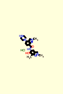 Cc1c(O)c(NC(=O)c2ccc(N3CCNCC3)c3cn(C)nc23)cc2cn(C)nc12.Cl